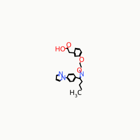 CCCCC(=NOCCOc1cccc(CC(=O)O)c1)c1ccc(-n2cccn2)cc1